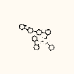 c1ccc(-c2nc(-c3cccc4oc5cc(-c6ccc7c(c6)sc6ccccc67)ccc5c34)nc(-n3c4ccccc4c4ccccc43)n2)cc1